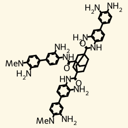 CNc1ccc(-c2ccc(NC(=O)C34CC5CC(C(=O)Nc6ccc(-c7ccc(N)c(N)c7)cc6N)(C3)CC(C(=O)Nc3ccc(-c6ccc(NC)c(N)c6)cc3N)(C5)C4)c(N)c2)cc1N